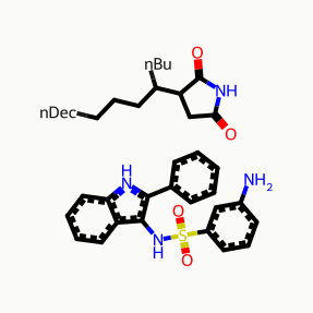 CCCCCCCCCCCCCC(CCCC)C1CC(=O)NC1=O.Nc1cccc(S(=O)(=O)Nc2c(-c3ccccc3)[nH]c3ccccc23)c1